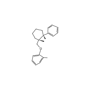 Cc1ccccc1OC[C@]1(C)CCCC[C@]1(C)c1ccccc1